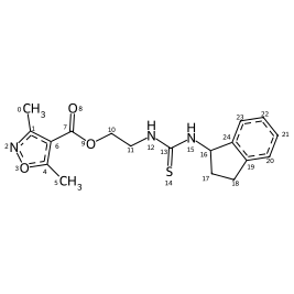 Cc1noc(C)c1C(=O)OCCNC(=S)NC1CCc2ccccc21